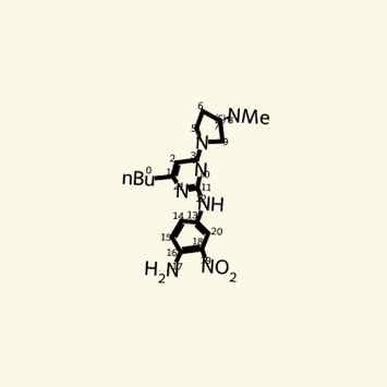 CCCCc1cc(N2CC[C@H](NC)C2)nc(Nc2ccc(N)c([N+](=O)[O-])c2)n1